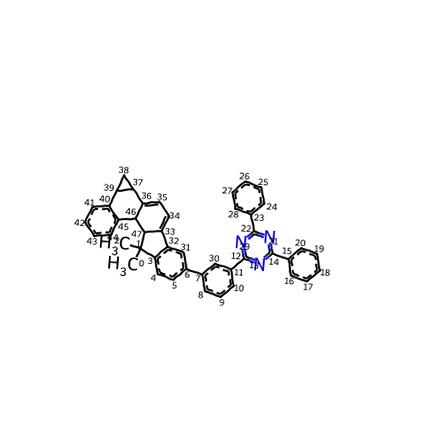 CC1(C)c2ccc(-c3cccc(-c4nc(-c5ccccc5)nc(-c5ccccc5)n4)c3)cc2C2=CC=C3C4CC4c4ccccc4C3C21